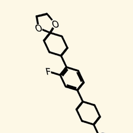 CCCCCC1CCC(c2ccc(C3CCC4(CC3)OCCO4)c(F)c2)CC1